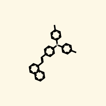 Cc1ccc(N(c2ccc(C)cc2)c2ccc(/C=C/c3cccc4ccccc34)cc2)cc1